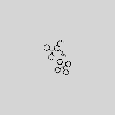 CCc1cc(CC)cc([PH+](C2CCCCC2)C2CCCCC2)c1.c1ccc([B-](c2ccccc2)(c2ccccc2)c2ccccc2)cc1